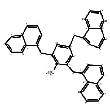 O=Cc1c(Cc2cccc3ccccc23)cc(Cc2cccc3ccccc23)cc1Cc1cccc2ccccc12